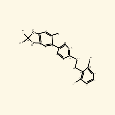 Cc1cc2c(cc1-c1ccc(OCc3c(F)cccc3F)nc1)OC(F)(F)O2